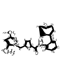 Cc1cc(C)n(Cc2ccc(C(=O)Nc3ccccc3-c3ccccc3)o2)n1